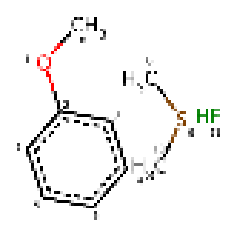 COc1ccccc1.CSC.F